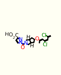 C=C(Cl)/C=C(Cl)\C=C(/C)O[C@H]1C[C@@H]2CN(C(=O)n3ccc(C(=O)O)n3)C[C@@H]2C1